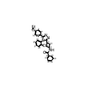 CCOc1ccc(-c2nnc(C3CC(NC(=O)c4ccccc4)C3)n2-c2ccccc2Cl)nc1